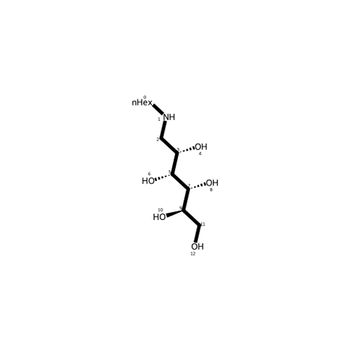 CCCCCCNC[C@H](O)[C@@H](O)[C@H](O)[C@H](O)CO